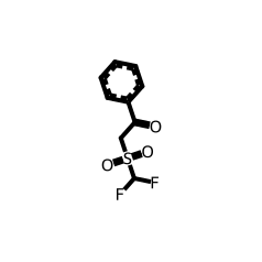 O=C(CS(=O)(=O)C(F)F)c1ccccc1